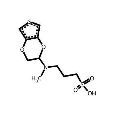 CN(CCCS(=O)(=O)O)C1COc2cscc2O1